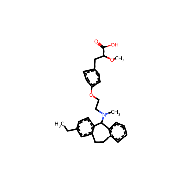 CCc1ccc2c(c1)CCc1ccccc1C2N(C)CCOc1ccc(CC(OC)C(=O)O)cc1